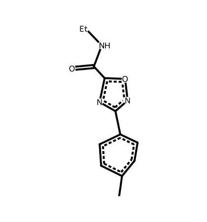 CCNC(=O)c1nc(-c2ccc(C)cc2)no1